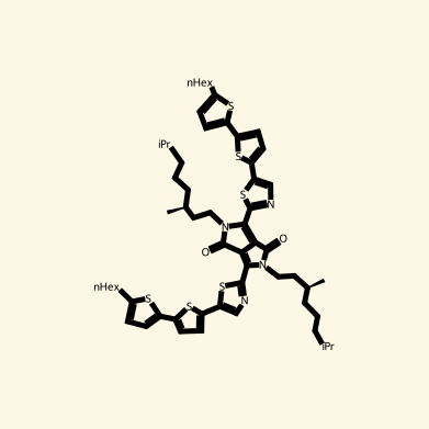 CCCCCCc1ccc(-c2ccc(-c3cnc(C4=C5C(=O)N(CC[C@@H](C)CCCC(C)C)C(c6ncc(-c7ccc(-c8ccc(CCCCCC)s8)s7)s6)=C5C(=O)N4CC[C@@H](C)CCCC(C)C)s3)s2)s1